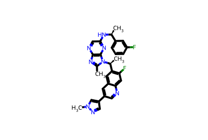 Cc1nc2ncc(N[C@@H](C)c3cccc(F)c3)nc2n1[C@@H](C)c1cc2cc(-c3cnn(C)c3)cnc2cc1F